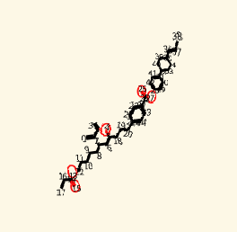 C=CC(=C)OC(CCCCCCCOC(=O)C=C)CCCc1ccc(C(=O)Oc2ccc(C3CCC(CCC)CC3)cc2)cc1